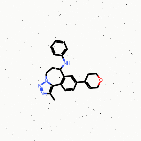 Cc1nnn2c1-c1ccc(C3=CCOCC3)cc1C(Nc1ccccc1)CC2